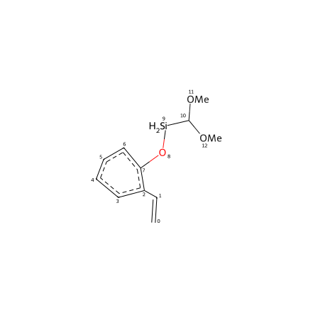 C=Cc1ccccc1O[SiH2]C(OC)OC